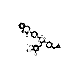 Nc1c(Cl)cc(C[C@@H](OC(=O)N2CCC(N3CCc4ccccc4NC3=O)CC2)C(=O)N2CCC(CC3CC3)CC2)cc1C(F)(F)F